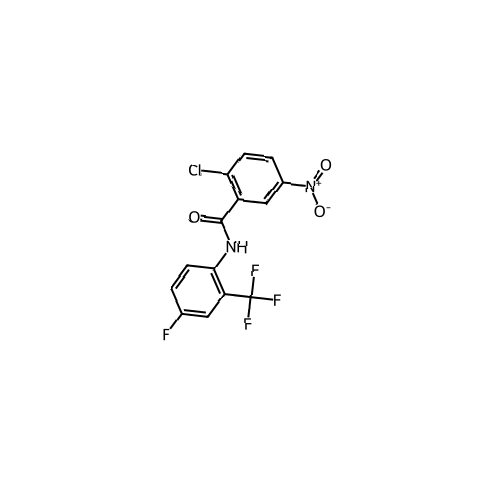 O=C(Nc1ccc(F)cc1C(F)(F)F)c1cc([N+](=O)[O-])ccc1Cl